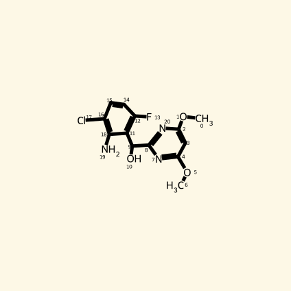 COc1cc(OC)nc(C(O)c2c(F)ccc(Cl)c2N)n1